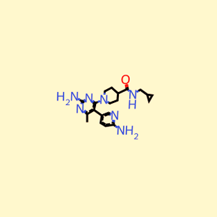 Cc1nc(N)nc(N2CCC(C(=O)NCC3CC3)CC2)c1-c1ccc(N)nc1